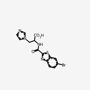 O=C(NC(Cn1ccnc1)C(=O)O)c1nc2ccc(Br)cc2s1